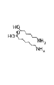 NCCCCCCC(=O)O.NCCCCCCO